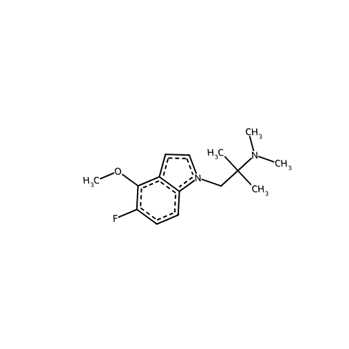 COc1c(F)ccc2c1ccn2CC(C)(C)N(C)C